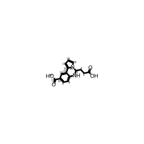 O=C(O)CCC1Nc2ccc(C(=O)O)cc2-c2cccn21